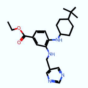 CCOC(=O)c1ccc(NC2CCC(C(C)(C)C)CC2)c(NCc2cncnc2)c1